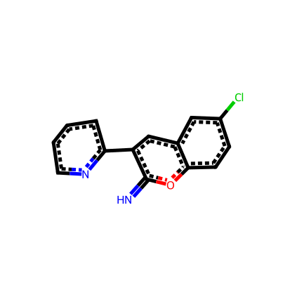 N=c1oc2ccc(Cl)cc2cc1-c1ccccn1